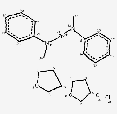 C1CCOC1.C1CCOC1.C[N]([Zr+2][N](C)c1ccccc1)c1ccccc1.[Cl-].[Cl-]